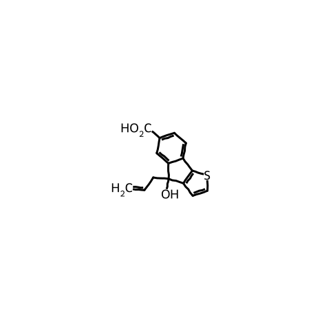 C=CCC1(O)c2cc(C(=O)O)ccc2-c2sccc21